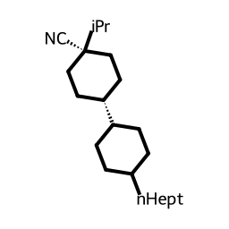 CCCCCCCC1CCC([C@H]2CC[C@](C#N)(C(C)C)CC2)CC1